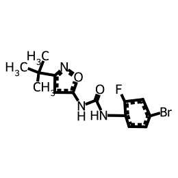 CC(C)(C)c1cc(NC(=O)Nc2ccc(Br)cc2F)on1